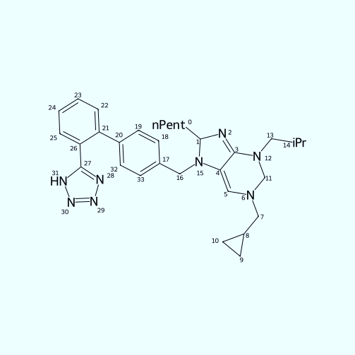 CCCCCC1N=C2C(=CN(CC3CC3)CN2CC(C)C)N1Cc1ccc(-c2ccccc2-c2nnn[nH]2)cc1